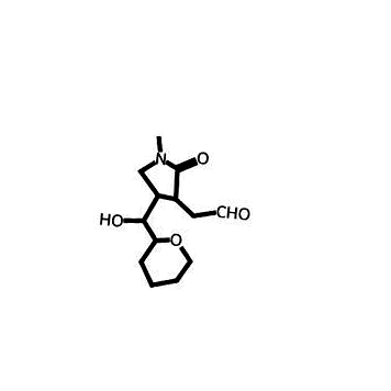 CN1CC(C(O)C2CCCCO2)C(CC=O)C1=O